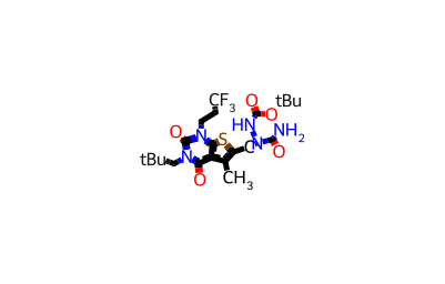 Cc1c(CN(NC(=O)OC(C)(C)C)C(N)=O)sc2c1c(=O)n(CC(C)(C)C)c(=O)n2CCC(F)(F)F